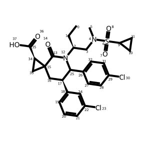 CC[C@@H](CN(C)S(=O)(=O)C1CC1)N1C(=O)C2(C[C@H](c3cccc(Cl)c3)C1c1ccc(Cl)cc1)C[C@H]2C(=O)O